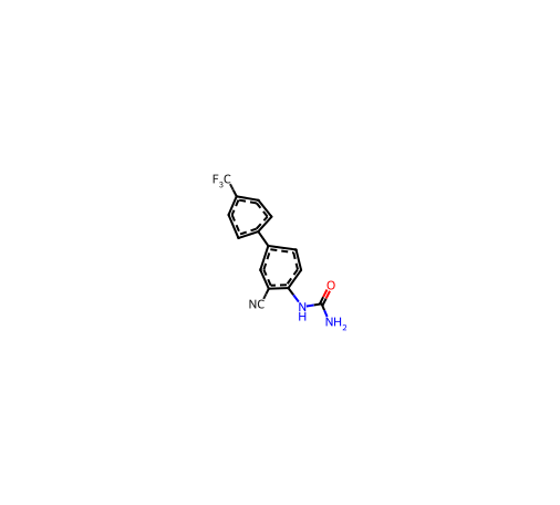 N#Cc1cc(-c2ccc(C(F)(F)F)cc2)ccc1NC(N)=O